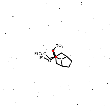 CCOC(=O)CC1(C[N+](=O)[O-])CC2CCC(C1)N2C(=O)OC(C)(C)C